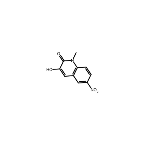 Cn1c(=O)c(O)cc2cc([N+](=O)[O-])ccc21